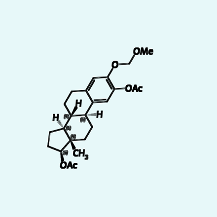 COCOc1cc2c(cc1OC(C)=O)[C@H]1CC[C@]3(C)[C@@H](OC(C)=O)CC[C@H]3[C@@H]1CC2